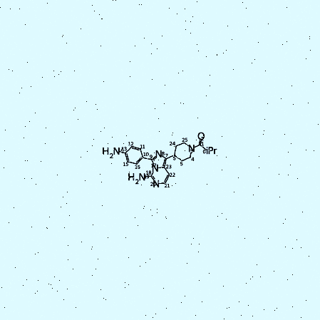 CC(C)C(=O)N1CCC(c2nc(-c3ccc(N)cc3)n3c(N)nccc23)CC1